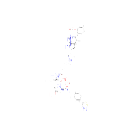 Cc1ncsc1-c1ccc(CNC(=O)[C@@H]2C[C@@H](O)CN2C(=O)[C@@H](NC(=O)CCCCN2CC(c3cc4cc(-c5ccccc5O)nnc4[nH]3)C2)C(C)(C)C)cc1